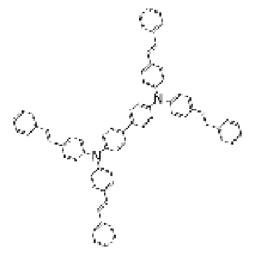 C(=Cc1ccc(N(c2ccc(C=Cc3ccccc3)cc2)c2ccc(-c3ccc(N(c4ccc(C=Cc5ccccc5)cc4)c4ccc(C=Cc5ccccc5)cc4)cc3)cc2)cc1)c1ccccc1